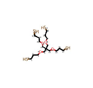 SCCCOCC(COCCCS)(COCCCS)COCCCS